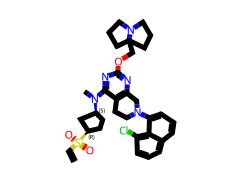 C=CS(=O)(=O)[C@@H]1CC[C@H](N(C)c2nc(OCC34CCCN3CCC4)nc3c2CCN(c2cccc4cccc(Cl)c24)C3)C1